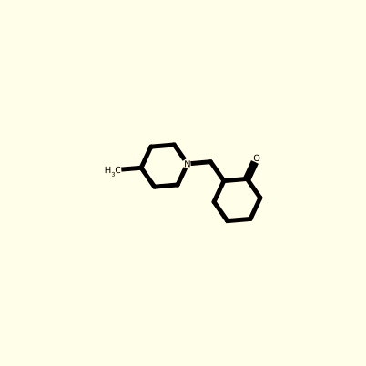 CC1CCN(CC2CCCCC2=O)CC1